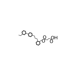 CCc1cccc(-c2ccc(CCCc3ccccc3COC(=O)CCC(=O)O)cc2)c1